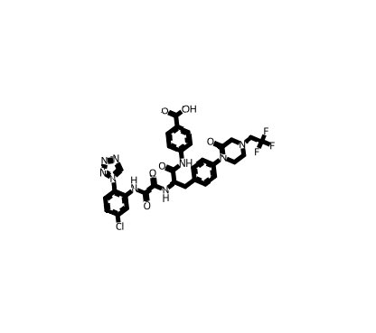 O=C(Nc1cc(Cl)ccc1-n1cnnn1)C(=O)NC(Cc1ccc(N2CCN(CC(F)(F)F)CC2=O)cc1)C(=O)Nc1ccc(C(=O)O)cc1